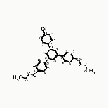 CCCOc1ccc(-c2cc(-c3ccc(O)cc3)cc(-c3ccc(OCCC)cc3)c2)cc1